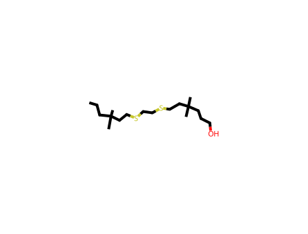 CCCC(C)(C)CCSCCSCCC(C)(C)CCCO